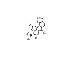 CSc1c(Cl)ccc2c(=O)c3cc(Cl)c(N(C)C)nc3n(CC(=O)[O-])c12.[Na+]